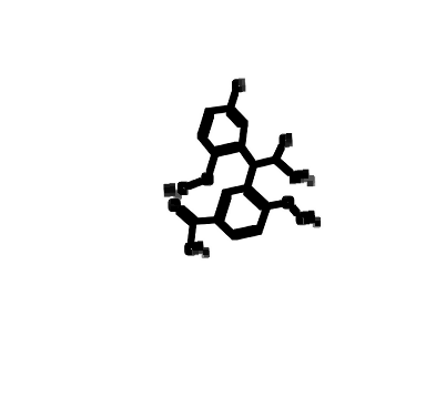 COc1ccc(Cl)cc1C(c1cc(C(C)=O)ccc1OC)C(N)Cl